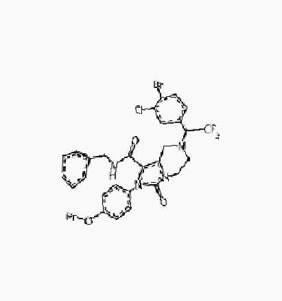 CC(C)Oc1ccc(-n2c(C(=O)NCc3ccccc3)c3n(c2=O)CCN(C(c2ccc(Br)c(Cl)c2)C(F)(F)F)C3)cc1